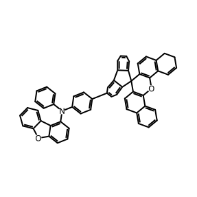 C1=Cc2c(ccc3c2Oc2c(ccc4ccccc24)C32c3ccccc3-c3cc(-c4ccc(N(c5ccccc5)c5cccc6oc7ccccc7c56)cc4)ccc32)CC1